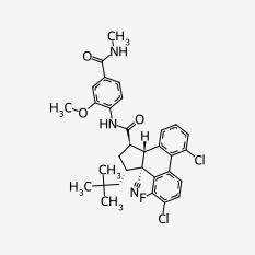 CNC(=O)c1ccc(NC(=O)[C@@H]2C[C@@H](CC(C)(C)C)[C@]3(C#N)c4c(ccc(Cl)c4F)-c4c(Cl)cccc4[C@@H]23)c(OC)c1